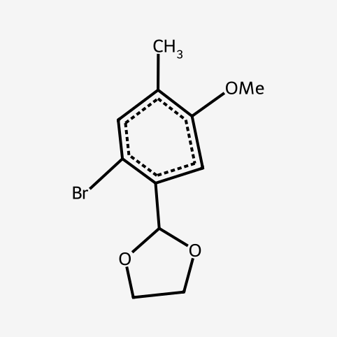 COc1cc(C2OCCO2)c(Br)cc1C